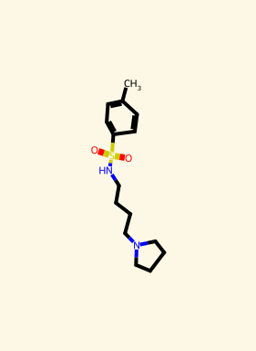 Cc1ccc(S(=O)(=O)NCCCCN2CCCC2)cc1